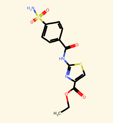 CCOC(=O)c1csc(NC(=O)c2ccc(S(N)(=O)=O)cc2)n1